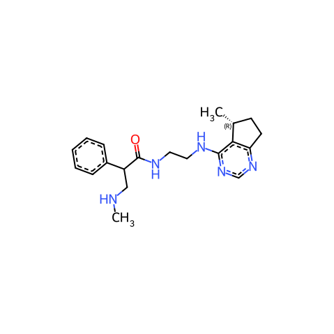 CNCC(C(=O)NCCNc1ncnc2c1[C@H](C)CC2)c1ccccc1